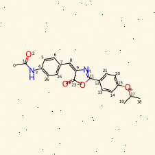 CC(=O)Nc1ccc(C=C2N=C(c3ccc(OC(C)C)cc3)OC2=O)cc1